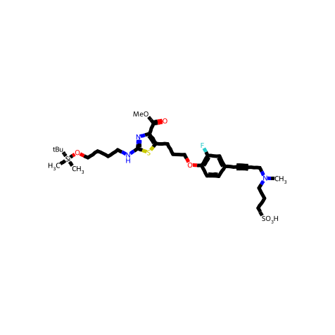 COC(=O)c1nc(NCCCCO[Si](C)(C)C(C)(C)C)sc1CCCOc1ccc(C#CCN(C)CCCS(=O)(=O)O)cc1F